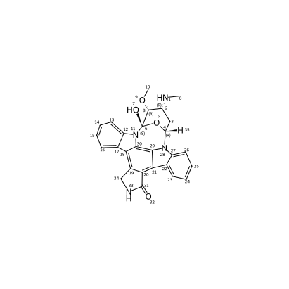 CN[C@@H]1C[C@H]2O[C@@](O)([C@@H]1OC)n1c3ccccc3c3c4c(c5c6ccccc6n2c5c31)C(=O)NC4